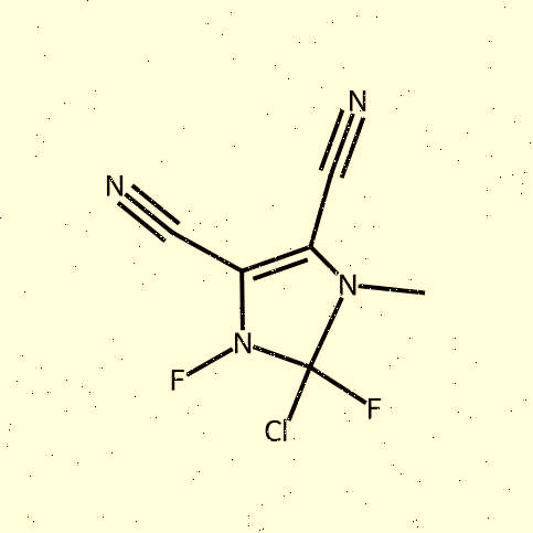 CN1C(C#N)=C(C#N)N(F)C1(F)Cl